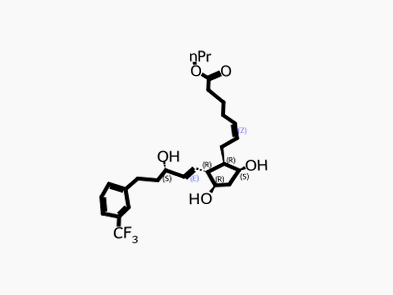 CCCOC(=O)CCC/C=C\C[C@@H]1[C@@H](/C=C/[C@@H](O)CCc2cccc(C(F)(F)F)c2)[C@H](O)C[C@@H]1O